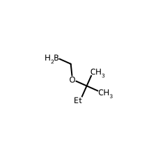 BCOC(C)(C)CC